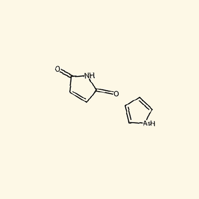 C1=C[AsH]C=C1.O=C1C=CC(=O)N1